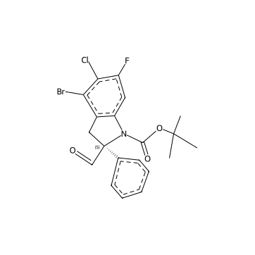 CC(C)(C)OC(=O)N1c2cc(F)c(Cl)c(Br)c2C[C@@]1(C=O)c1ccccc1